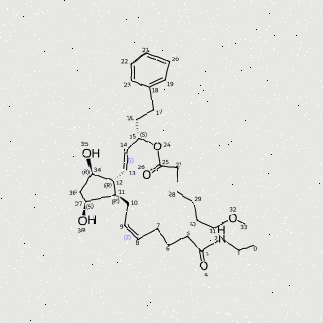 CCNC(=O)CCC/C=C\C[C@@H]1[C@@H](/C=C/[C@H](CCc2ccccc2)OC(=O)CCCCCOC)[C@H](O)C[C@@H]1O